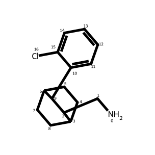 NCC1C2CCC(CC2)C1c1ccccc1Cl